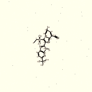 CCS(=O)(=O)c1c(-c2nc3ccc(C(F)(F)F)nc3n2C)nc2c(C#N)cc(I)cn12